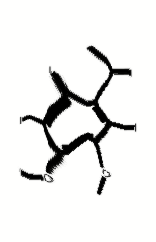 COc1c(I)c(I)c(C(C)C)c(I)c1OC